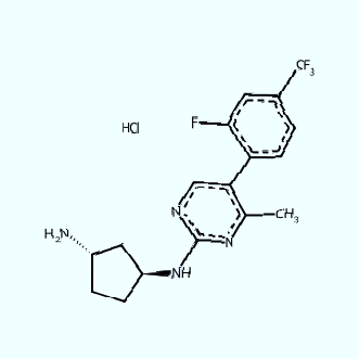 Cc1nc(N[C@H]2CC[C@H](N)C2)ncc1-c1ccc(C(F)(F)F)cc1F.Cl